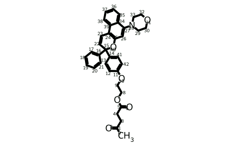 CC(=O)CCC(=O)OCCOc1ccc(C2(c3ccccc3)C=Cc3c(cc(N4CCOCC4)c4ccccc34)O2)cc1